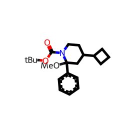 COC1(c2ccccc2)CC(C2CCC2)CCN1C(=O)OC(C)(C)C